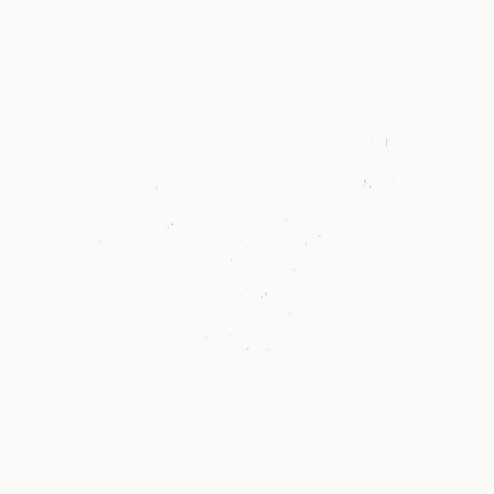 CCN(CCOc1ccc(Oc2c(-c3ccc(S(C)(=O)=O)cc3)ccc3cc(O)ccc23)cc1)CC(=O)O